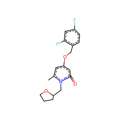 Cc1cc(OCc2ccc(F)cc2F)cc(=O)n1CC1CCCO1